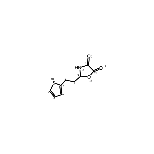 O=C1NC(CCc2cccs2)OC1=O